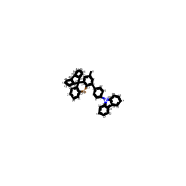 Cc1cc(-c2ccc(-n3c4ccccc4c4ccccc43)cc2)c2c(c1)C1(c3ccccc3S2)c2ccccc2-c2ccccc21